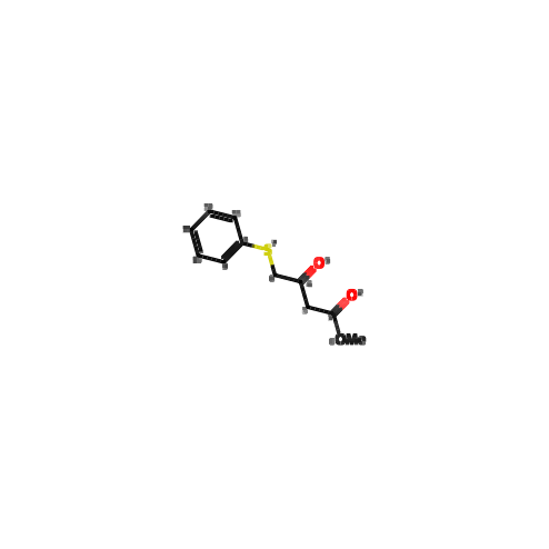 COC(=O)CC(=O)CSc1ccccc1